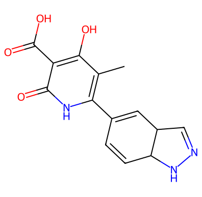 Cc1c(C2=CC3C=NNC3C=C2)[nH]c(=O)c(C(=O)O)c1O